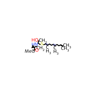 C=C(O)C(CSC/C=C(\C)CC/C=C(\C)CCC=C(C)C)NC(=C)C1(C(=O)OC)CC1